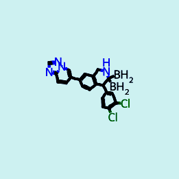 BC1(B)NCc2cc(-c3ccc4ncnn4c3)ccc2C1c1ccc(Cl)c(Cl)c1